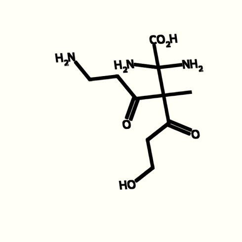 CC(C(=O)CCN)(C(=O)CCO)C(N)(N)C(=O)O